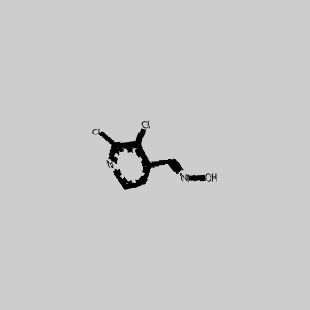 ON=Cc1ccnc(Cl)c1Cl